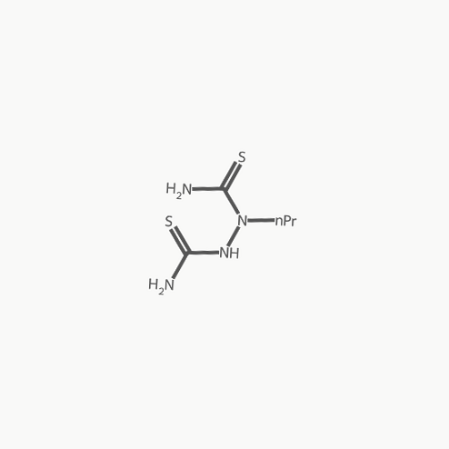 CCCN(NC(N)=S)C(N)=S